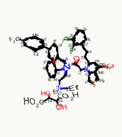 CCN(CC)CC[N+](Cc1ccc(-c2ccc(C(F)(F)F)cc2)cc1)(C(=O)Cn1c(CCc2cccc(F)c2F)cc(=O)c2cscc21)c1ccccc1.O=C(O)C(O)C(O)C(=O)O